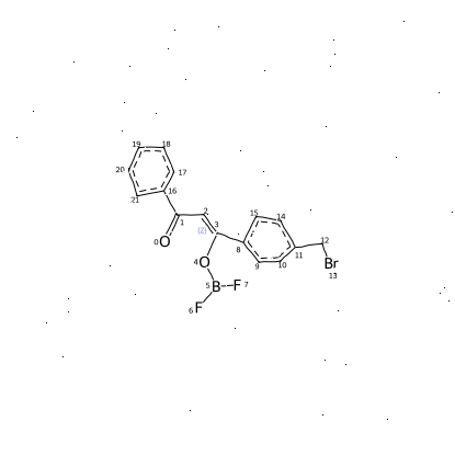 O=C(/C=C(\OB(F)F)c1ccc(CBr)cc1)c1ccccc1